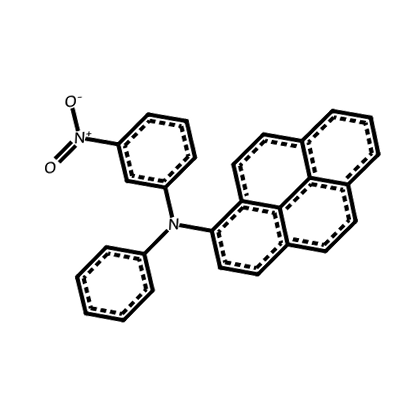 O=[N+]([O-])c1cccc(N(c2ccccc2)c2ccc3ccc4cccc5ccc2c3c45)c1